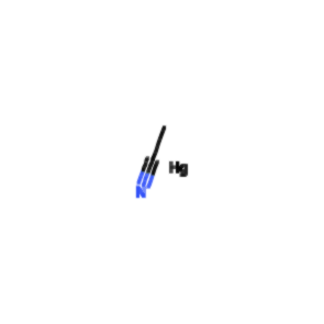 CC#N.[Hg]